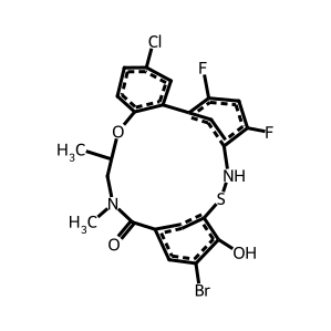 CC1CN(C)C(=O)c2cc(Br)c(O)c(c2)SNc2cc(c(F)cc2F)-c2cc(Cl)ccc2O1